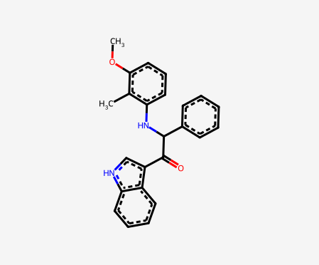 COc1cccc(NC(C(=O)c2c[nH]c3ccccc23)c2ccccc2)c1C